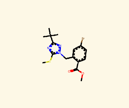 COC(=O)c1ccc(Br)cc1Cn1nc(C(C)(C)C)nc1SC